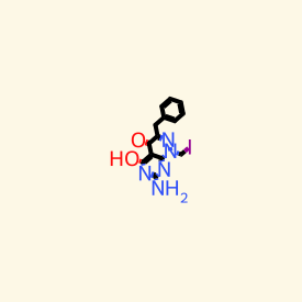 Nc1nc(O)c2c(=O)c(Cc3ccccc3)nn(CI)c2n1